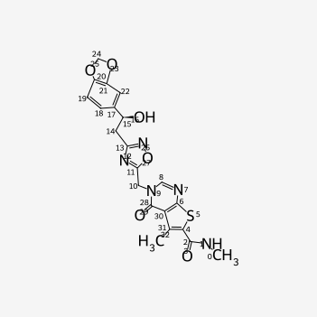 CNC(=O)c1sc2ncn(Cc3nc(C[C@H](O)c4ccc5c(c4)OCO5)no3)c(=O)c2c1C